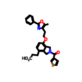 Cc1oc(-c2ccccc2)nc1CCOc1ccc(CCC(=O)O)c2c1CN(C(=O)c1ccsc1)C2